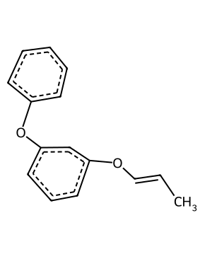 CC=COc1cccc(Oc2ccccc2)c1